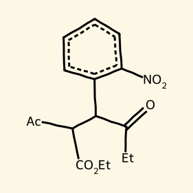 CCOC(=O)C(C(C)=O)C(C(=O)CC)c1ccccc1[N+](=O)[O-]